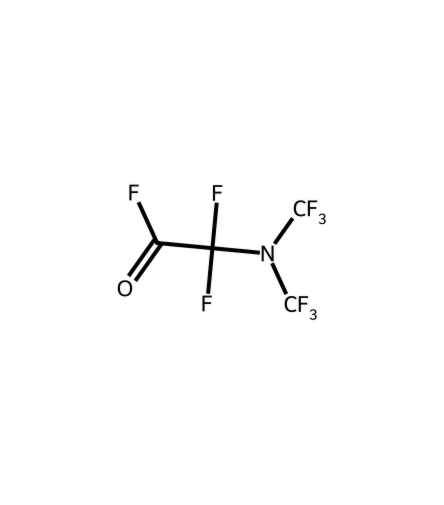 O=C(F)C(F)(F)N(C(F)(F)F)C(F)(F)F